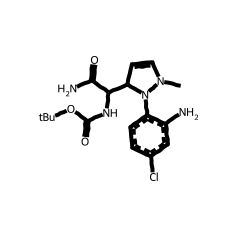 CN1C=CC(C(NC(=O)OC(C)(C)C)C(N)=O)N1c1ccc(Cl)cc1N